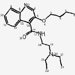 CCCCOc1cnc2ccccc2c1C(=O)NCCN(CC)CC